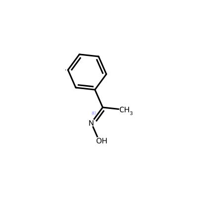 C/C(=N\O)c1c[c]ccc1